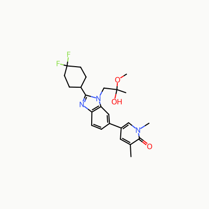 COC(C)(O)Cn1c(C2CCC(F)(F)CC2)nc2ccc(-c3cc(C)c(=O)n(C)c3)cc21